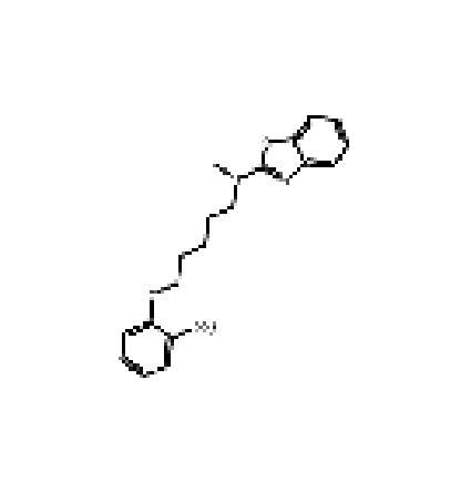 CN(CCCCCSc1ccccc1C(=O)O)c1nc2ccccc2o1